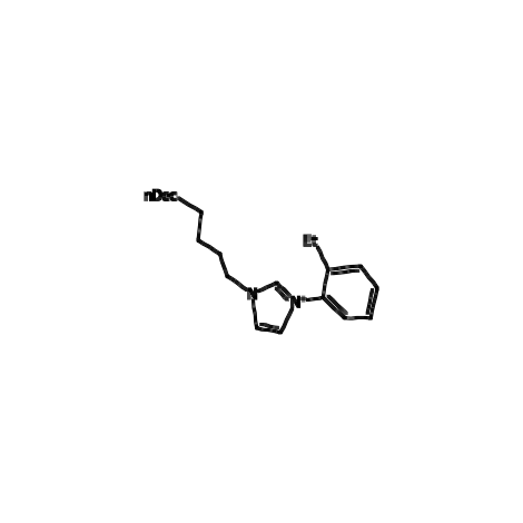 CCCCCCCCCCCCCCn1cc[n+](-c2ccccc2CC)c1